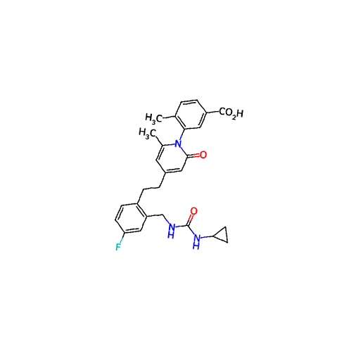 Cc1ccc(C(=O)O)cc1-n1c(C)cc(CCc2ccc(F)cc2CNC(=O)NC2CC2)cc1=O